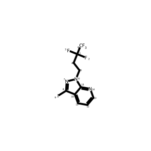 FC(F)(F)C(F)(F)CCn1nc(I)c2cccnc21